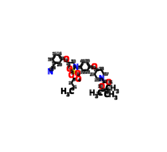 CCCC(=O)OS(=O)(=O)N(CCOc1cccc(C#N)c1)c1ccc(OC2CCN(C(=O)OC(C)(C)C)CC2)cc1